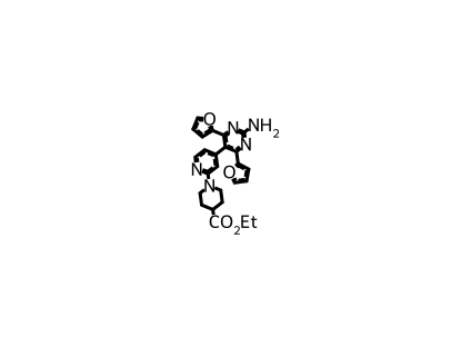 CCOC(=O)C1CCN(c2cc(-c3c(-c4ccco4)nc(N)nc3-c3ccco3)ccn2)CC1